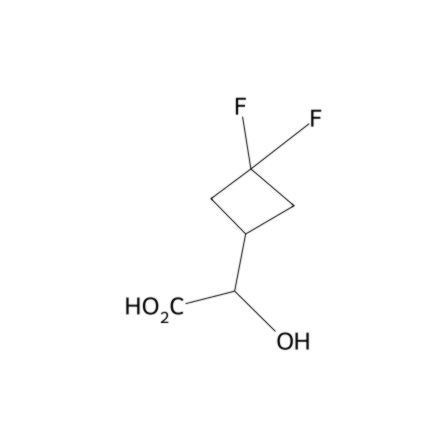 O=C(O)C(O)C1CC(F)(F)C1